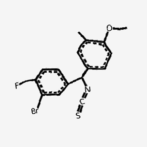 COc1ccc(C(N=C=S)c2ccc(F)c(Br)c2)cc1C